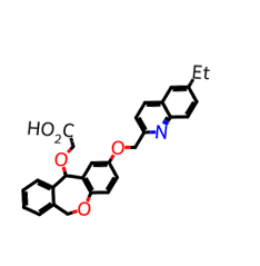 CCc1ccc2nc(COc3ccc4c(c3)C(OCC(=O)O)c3ccccc3CO4)ccc2c1